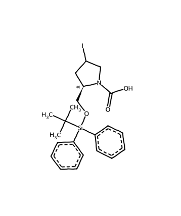 CC(C)(C)[Si](OC[C@H]1CC(I)CN1C(=O)O)(c1ccccc1)c1ccccc1